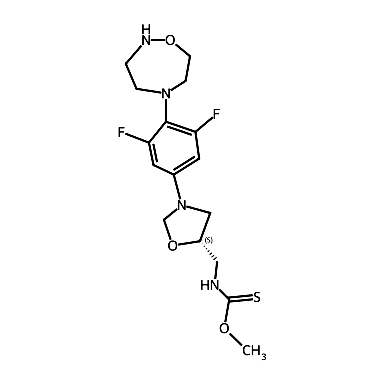 COC(=S)NC[C@H]1CN(c2cc(F)c(N3CCNOCC3)c(F)c2)CO1